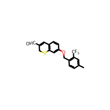 Cc1ccc(COc2ccc3c(c2)SCC(C=O)=C3)c(C(F)(F)F)c1